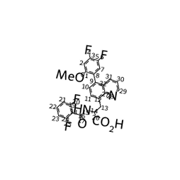 COc1cc(F)c(F)cc1-c1ccc(CC(NC(=O)c2c(F)cccc2F)C(=O)O)c2ncccc12